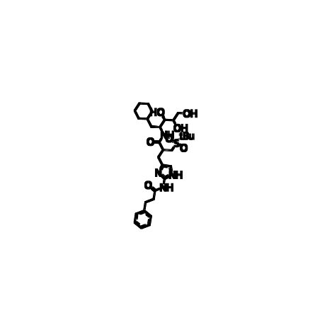 CC(C)(C)S(=O)(=O)CC(Cc1c[nH]c(NC(=O)CCc2ccccc2)n1)C(=O)N[C@@H](CC1CCCCC1)[C@@H](O)C(O)CO